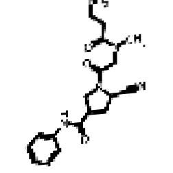 CN(CC(=O)N1CC(C(=O)Nc2ccccc2)CC1C#N)C(=O)CCN